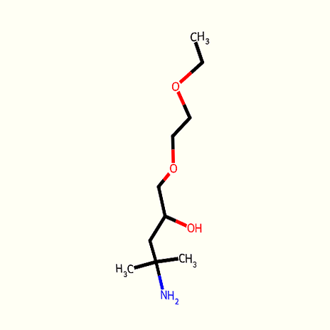 CCOCCOCC(O)CC(C)(C)N